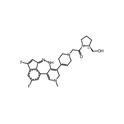 CN1C=C2C(=C(C3=CCN(CC(=O)N4CCC[C@H]4CO)CC3)C1)NN=C1C=C(F)c3cc(F)cc2c31